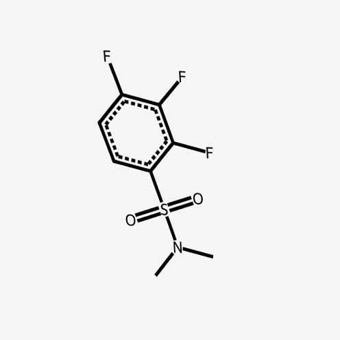 CN(C)S(=O)(=O)c1ccc(F)c(F)c1F